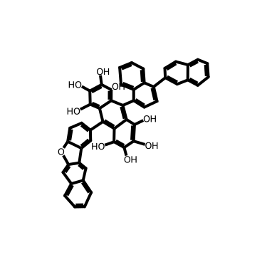 Oc1c(O)c(O)c2c(-c3ccc(-c4ccc5ccccc5c4)c4ccccc34)c3c(O)c(O)c(O)c(O)c3c(-c3ccc4oc5cc6ccccc6cc5c4c3)c2c1O